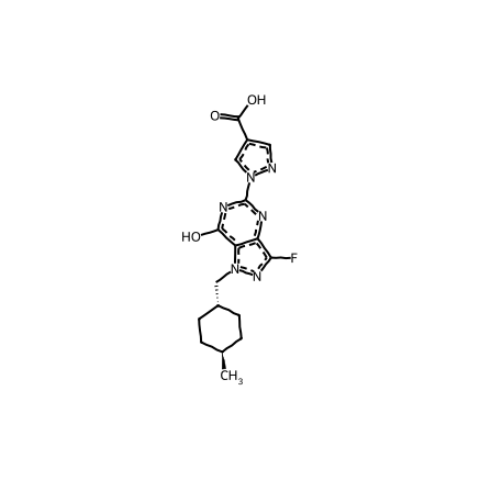 C[C@H]1CC[C@H](Cn2nc(F)c3nc(-n4cc(C(=O)O)cn4)nc(O)c32)CC1